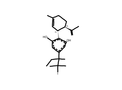 C=C(C)[C@@H]1CCC(C)=C[C@H]1c1c(O)cc(C(C)(CC)C(C)(C)I)cc1O